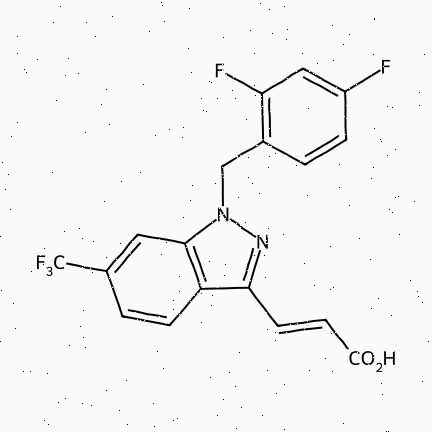 O=C(O)C=Cc1nn(Cc2ccc(F)cc2F)c2cc(C(F)(F)F)ccc12